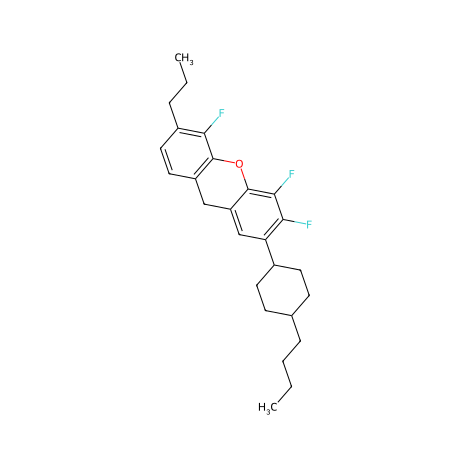 CCCCC1CCC(c2cc3c(c(F)c2F)Oc2c(ccc(CCC)c2F)C3)CC1